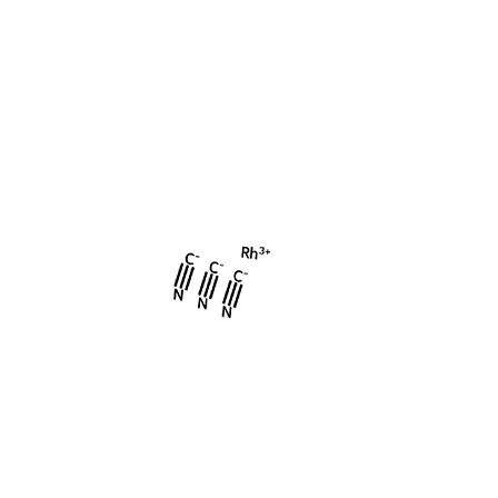 [C-]#N.[C-]#N.[C-]#N.[Rh+3]